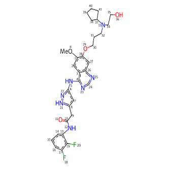 COc1cc2c(Nc3cc(CC(=O)Nc4cccc(F)c4F)[nH]n3)ncnc2cc1OCCCN(CCO)C1CCCC1